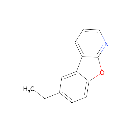 CCc1ccc2oc3ncccc3c2c1